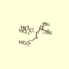 CC(C)(C)N([C@H](CC(=O)O)C(=O)O)C(C)(C)C.Cl